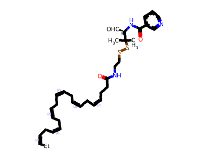 CC/C=C\C/C=C\C/C=C\C/C=C\C/C=C\C/C=C\CCC(=O)NCCSSC(C)(C)[C@@H](C=O)NC(=O)c1cccnc1